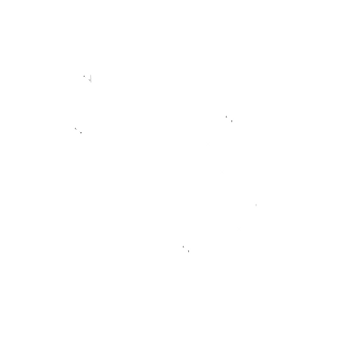 COc1cccnc1COc1cc(-c2cncnc2)c2c(n1)CCCC2